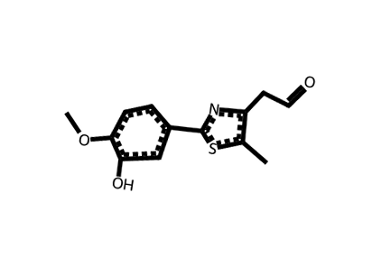 COc1ccc(-c2nc(CC=O)c(C)s2)cc1O